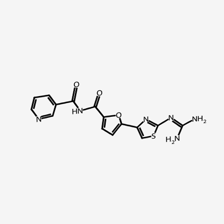 NC(N)=Nc1nc(-c2ccc(C(=O)NC(=O)c3cccnc3)o2)cs1